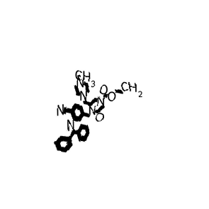 C=CCOC(=O)N1CC(=O)N(Cc2ccc(C#N)c(N=C(c3ccccc3)c3ccccc3)c2)C(CN2CCN(C)CC2)C1